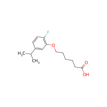 CC(C)c1ccc(F)c(OCCCCCC(=O)O)c1